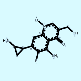 CCn1cc(CO)c(=O)c2c(N)c(F)c(C3CC3N)cc21